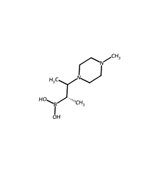 CC([C@H](C)B(O)O)N1CCN(C)CC1